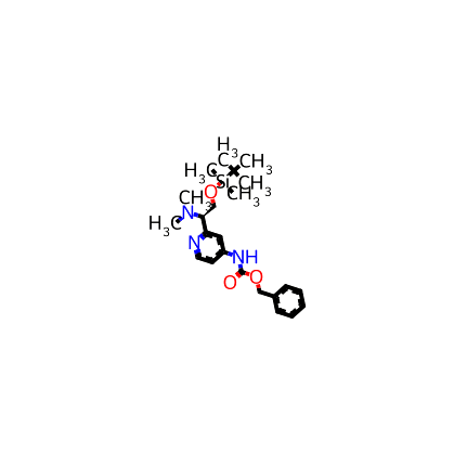 CN(C)[C@@H](CO[Si](C)(C)C(C)(C)C)c1cc(NC(=O)OCc2ccccc2)ccn1